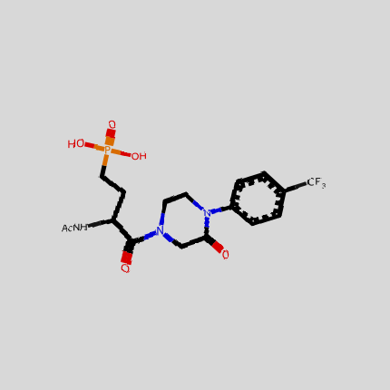 CC(=O)NC(CCP(=O)(O)O)C(=O)N1CCN(c2ccc(C(F)(F)F)cc2)C(=O)C1